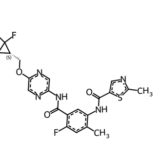 Cc1ncc(C(=O)Nc2cc(C(=O)Nc3cnc(OC[C@@H]4CC4(F)F)cn3)c(F)cc2C)s1